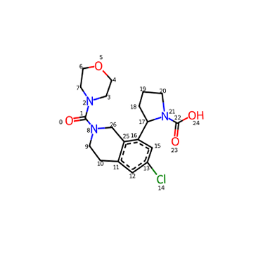 O=C(N1CCOCC1)N1CCc2cc(Cl)cc(C3CCCN3C(=O)O)c2C1